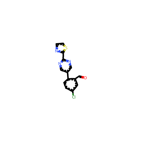 O=Cc1cc(Cl)ccc1-c1cnc(-c2nccs2)nc1